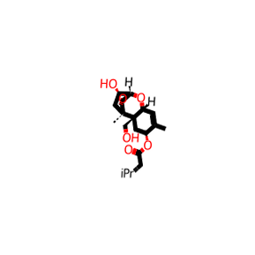 CC1=C[C@H]2O[C@@H]3[C@H](O)C[C@](C)([C@@]2(CO)C[C@@H]1OC(=O)CC(C)C)[C@]31CO1